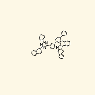 c1ccc(-c2ccc(-c3cc(-c4nc(-c5ccccc5)nc(-c5ccc6ccccc6c5)n4)ccc3-n3c4cc5ccccc5cc4c4c5ccccc5ccc43)cc2)cc1